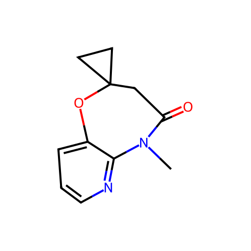 CN1C(=O)CC2(CC2)Oc2cccnc21